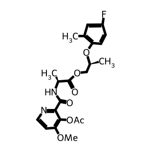 COc1ccnc(C(=O)N[C@@H](C)C(=O)OC[C@H](C)Oc2ccc(F)cc2C)c1OC(C)=O